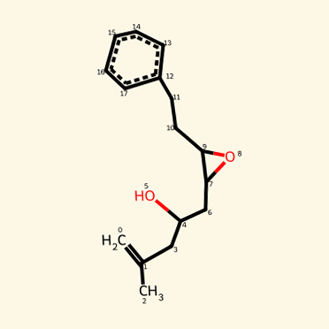 C=C(C)CC(O)CC1OC1CCc1ccccc1